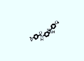 COc1ccc(-c2nc3cc(NC(=O)c4ccc(N(C)C)cc4)ccc3[nH]2)cc1